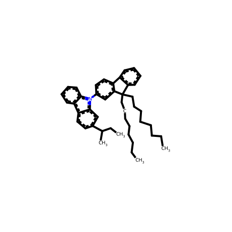 CCCCCCCCC1(CCCCCCCC)c2ccccc2-c2ccc(-n3c4ccccc4c4ccc(C(C)CC)cc43)cc21